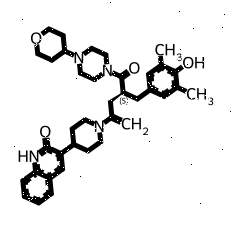 C=C(C[C@H](Cc1cc(C)c(O)c(C)c1)C(=O)N1CCN(C2CCOCC2)CC1)N1CCC(c2cc3ccccc3[nH]c2=O)CC1